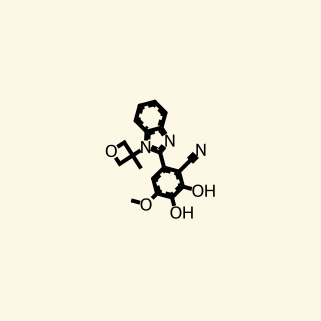 COc1cc(-c2nc3ccccc3n2C2(C)COC2)c(C#N)c(O)c1O